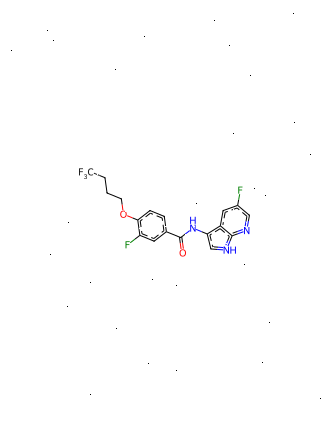 O=C(Nc1c[nH]c2ncc(F)cc12)c1ccc(OCCCC(F)(F)F)c(F)c1